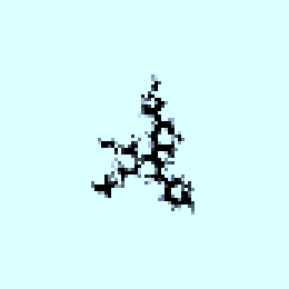 CCOC(=O)N(CC(=O)OC(C)(C)C)c1c(C(=O)c2ccc(F)nc2)oc2ncc(-c3cnn(C)c3)cc12